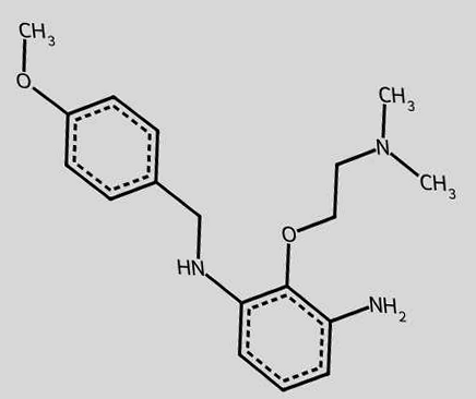 COc1ccc(CNc2cccc(N)c2OCCN(C)C)cc1